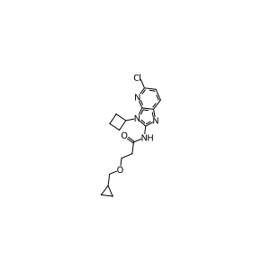 O=C(CCOCC1CC1)Nc1nc2ccc(Cl)nc2n1C1CCC1